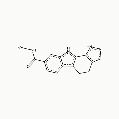 CCCNC(=O)c1ccc2c3c([nH]c2c1)-c1[nH]ncc1CC3